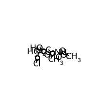 CCOC(=O)C(=O)Nc1cc(C)c(Oc2ccc(O)c(C(O)c3ccc(Cl)cc3)c2)c(C)c1